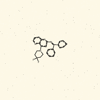 FC1(F)CCN(c2cc(N=C(c3ccccc3)c3ccccc3)nc3cccnc23)CC1